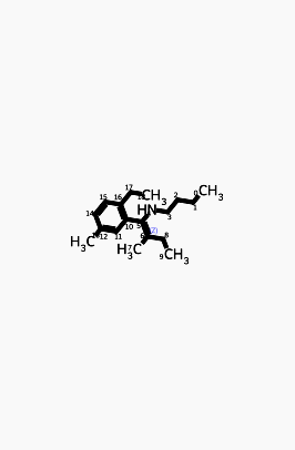 CCCCN/C(=C(/C)CC)c1cc(C)ccc1CC